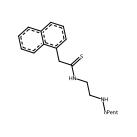 CCCCCNCCNC(=S)Cc1cccc2ccccc12